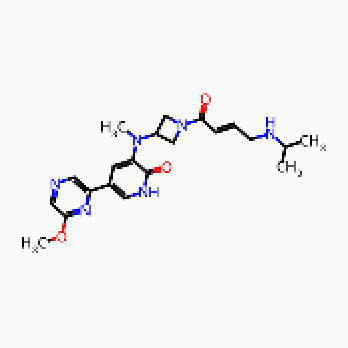 COc1cncc(-c2c[nH]c(=O)c(N(C)C3CN(C(=O)/C=C/CNC(C)C)C3)c2)n1